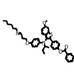 CCCCCCN=CCCOc1ccc(N(c2c(-c3ccc(OC(=O)c4ccccc4)cc3)sc3cc(OC)ccc23)C(C)CC)cc1